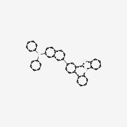 c1ccc(P(c2ccccc2)c2ccc3ccc(-c4ccc5c6ccccc6n6c7ccccc7nc6c5c4)cc3c2)cc1